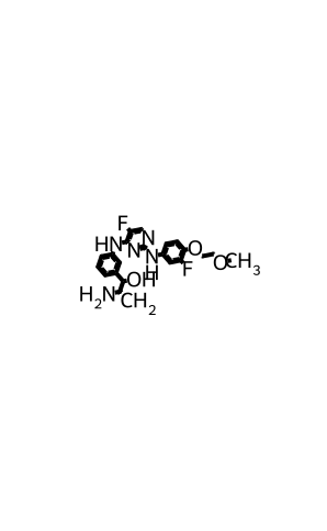 C=C(N)C(O)c1cccc(Nc2nc(Nc3ccc(OCCOC)c(F)c3)ncc2F)c1